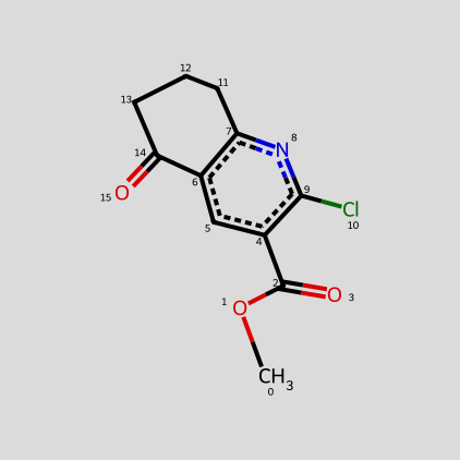 COC(=O)c1cc2c(nc1Cl)CCCC2=O